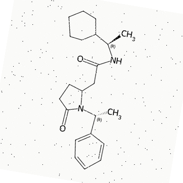 C[C@H](c1ccccc1)N1C(=O)CCC1CC(=O)N[C@H](C)C1CCCCC1